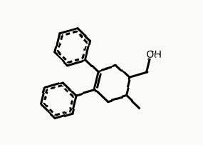 CC1CC(c2ccccc2)=C(c2ccccc2)CC1CO